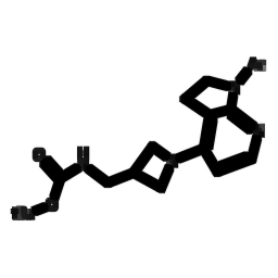 CC(=O)N1CCc2c(N3CC(CNC(=O)OC(C)(C)C)C3)ccnc21